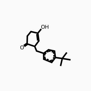 CC(C)(C)c1ccc(CC2C=C(O)CCC2=O)cc1